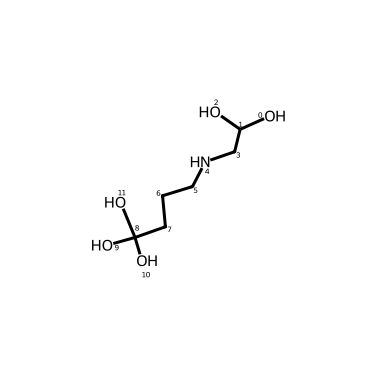 OC(O)CNCCCC(O)(O)O